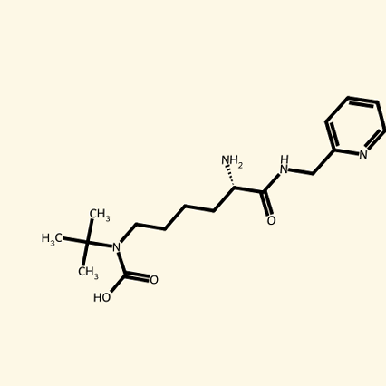 CC(C)(C)N(CCCC[C@H](N)C(=O)NCc1ccccn1)C(=O)O